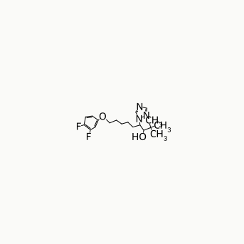 CC(C)(C)C(O)C(CCCCCOc1ccc(F)c(F)c1)n1cncn1